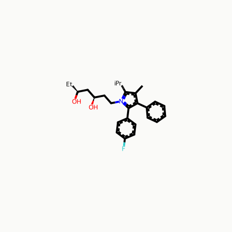 CC[C@H](O)C[C@H](O)CCn1c(-c2ccc(F)cc2)c(-c2ccccc2)c(C)c1C(C)C